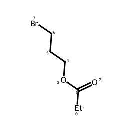 C[CH]C(=O)OCCCBr